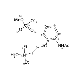 CC[N+](C)(CC)CCOc1ccccc1NC(C)=O.COS(=O)(=O)[O-]